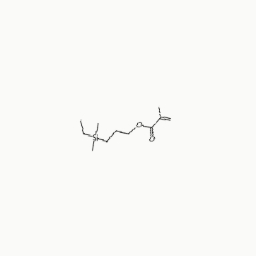 C=C(C)C(=O)OCCC[Si](C)(C)CC